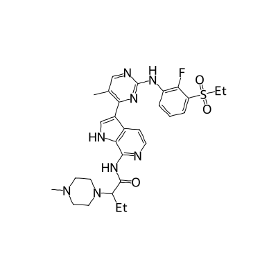 CCC(C(=O)Nc1nccc2c(-c3nc(Nc4cccc(S(=O)(=O)CC)c4F)ncc3C)c[nH]c12)N1CCN(C)CC1